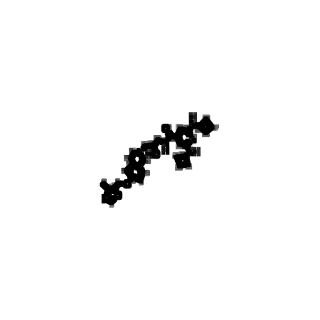 Cc1ncoc1COc1ccc2c(c1)CCN(CC(O)CNC(=O)c1cc(NC3CCC3)nc(NC3CCC3)c1)C2